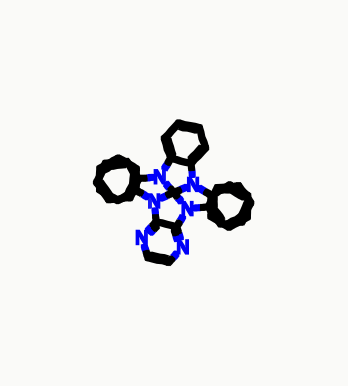 C1=CCCC(N2c3nccnc3N(c3ccccc3)C23N(c2ccccc2)c2ccccc2N3c2ccccc2)=C1